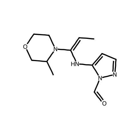 C/C=C(\Nc1ccnn1C=O)N1CCOCC1C